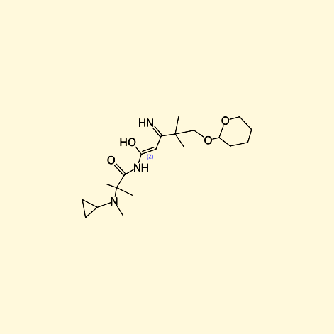 CN(C1CC1)C(C)(C)C(=O)N/C(O)=C/C(=N)C(C)(C)COC1CCCCO1